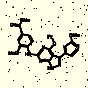 CNC(=O)c1ccc(Nc2nc(OC(C)C)c3c(-c4ccnc(OC)c4)c[nH]c3n2)c(OC)c1